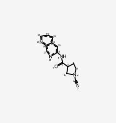 N#CN1CCC(C(=O)Nc2cc3cccnc3cn2)C1